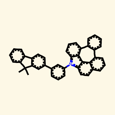 CC1(C)c2ccccc2-c2ccc(-c3cccc(-n4c5cccc6c5c5c7c(cccc7ccc54)-c4ccccc4-6)c3)cc21